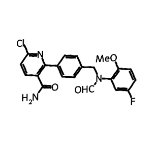 COc1ccc(F)cc1N(C=O)Cc1ccc(-c2nc(Cl)ccc2C(N)=O)cc1